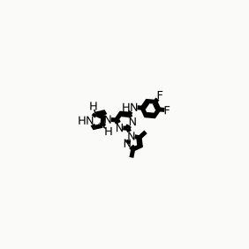 Cc1cc(C)n(-c2nc(Nc3ccc(F)c(F)c3)cc(N3C[C@H]4C[C@@H]3CN4)n2)n1